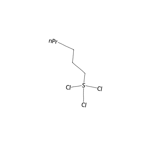 CCCCCCS(Cl)(Cl)Cl